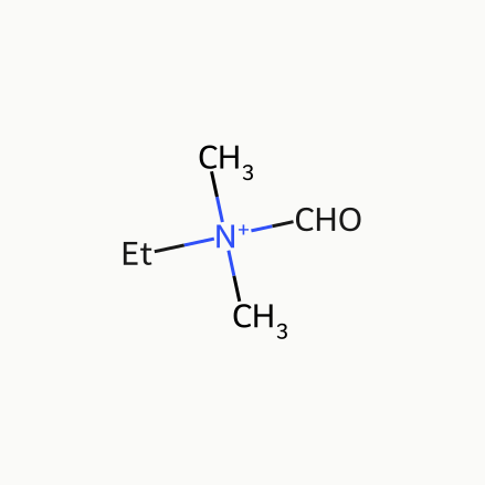 CC[N+](C)(C)C=O